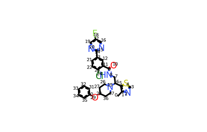 Cc1ncsc1C(CNC(=O)c1cc(-c2ncc(F)cn2)ccc1Cl)N1CCC(Oc2ccccc2)CC1